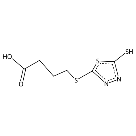 O=C(O)CCCSc1nnc(S)s1